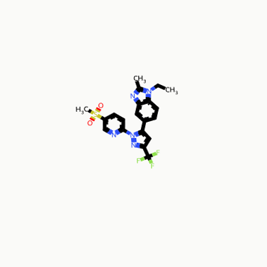 CCn1c(C)nc2cc(-c3cc(C(F)(F)F)nn3-c3ccc(S(C)(=O)=O)cn3)ccc21